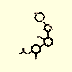 CC(=O)Nc1ccc(-c2cccc(-c3cc(N4CCNCC4)no3)c2O)cc1F